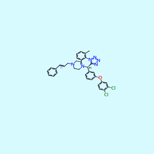 Cc1cccc(C)c1-n1nnnc1[C@@H](c1cccc(Oc2ccc(Cl)c(Cl)c2)c1)N1CCN(C/C=C/c2ccccc2)CC1